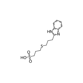 O=S(=O)(O)CCCSCCCc1nc2ccccc2[nH]1